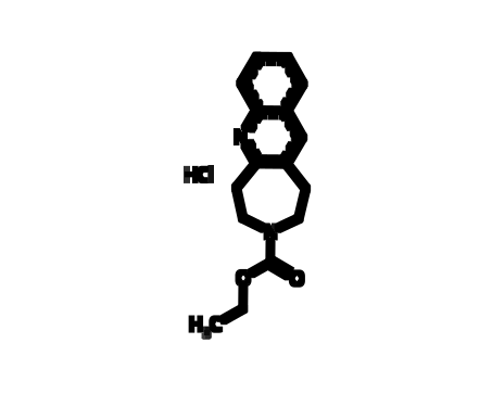 CCOC(=O)N1CCc2cc3ccccc3nc2CC1.Cl